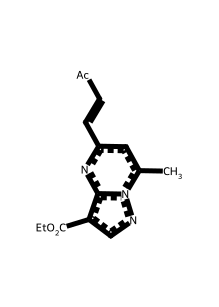 CCOC(=O)c1cnn2c(C)cc(/C=C/C(C)=O)nc12